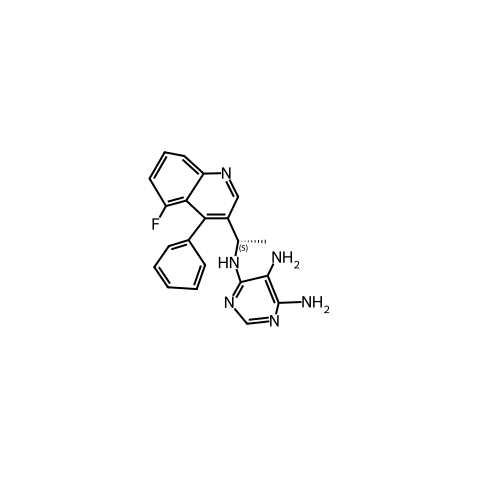 C[C@H](Nc1ncnc(N)c1N)c1cnc2cccc(F)c2c1-c1ccccc1